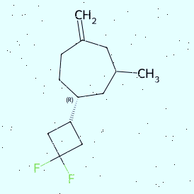 C=C1CC[C@@H](C2CC(F)(F)C2)CC(C)C1